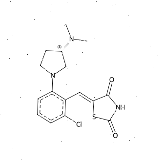 CN(C)[C@H]1CCN(c2cccc(Cl)c2C=C2SC(=O)NC2=O)C1